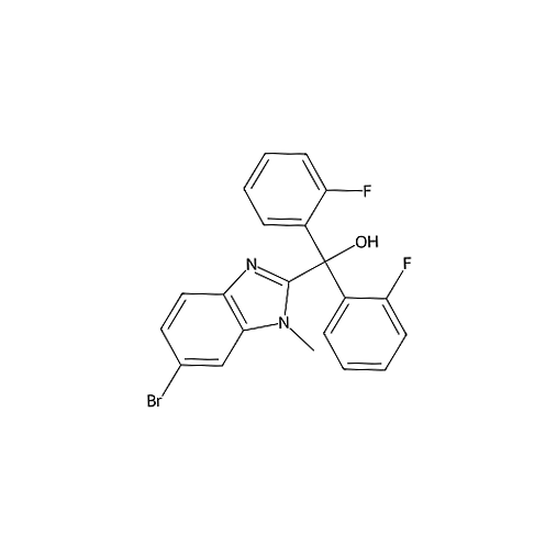 Cn1c(C(O)(c2ccccc2F)c2ccccc2F)nc2ccc(Br)cc21